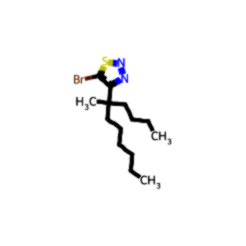 CCCCCCC(C)(CCCC)c1nnsc1Br